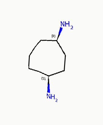 N[C@@H]1CCC[C@H](N)CC1